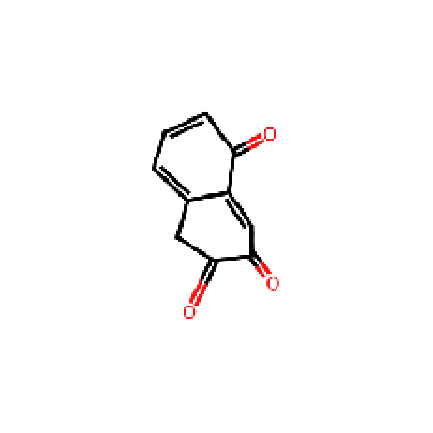 O=C1C=C2C(=O)C=CC=C2CC1=O